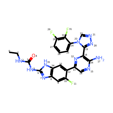 CCNC(=O)Nc1nc2cc(F)c(-c3cnc(N)c(-c4nncn4-c4cccc(F)c4F)n3)cc2[nH]1